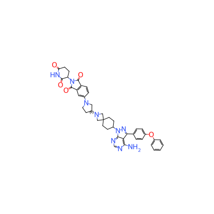 Nc1ncnc2c1c(-c1ccc(Oc3ccccc3)cc1)nn2C1CCC2(CC1)CN([C@@H]1CCN(c3ccc4c(c3)C(=O)N(C3CCC(=O)NC3=O)C4=O)C1)C2